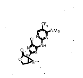 CNc1nc(Nc2sc([C@]34C(=O)OCC3[C@H]4C)nc2Cl)ncc1C(F)(F)F